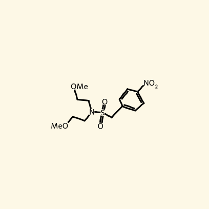 COCCN(CCOC)S(=O)(=O)Cc1ccc([N+](=O)[O-])cc1